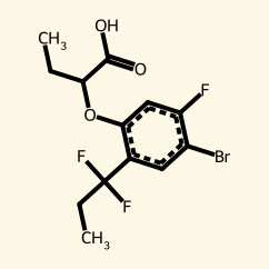 CCC(Oc1cc(F)c(Br)cc1C(F)(F)CC)C(=O)O